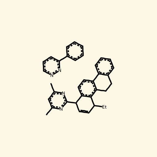 CCC1C=CC(c2nc(C)cc(C)n2)c2ccc3c(c21)CCc1ccccc1-3.c1ccc(-c2cccnn2)cc1